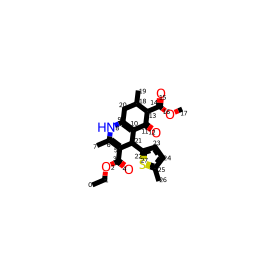 CCOC(=O)C1=C(C)NC2=C(C(=O)C(C(=O)OC)C(C)C2)C1c1ccc(C)s1